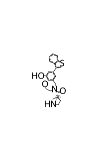 O=C([C@@H]1CCNC1)N1CCOc2c(O)cc(-c3csc4ccccc34)cc2C1